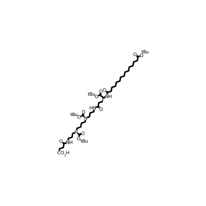 CC(C)(C)OC(=O)CCCCCCCCCCCCCC(=O)N[C@@H](CCC(=O)NCCCN(CCCCN(CCCNC(=O)CCC(=O)O)C(=O)OC(C)(C)C)C(=O)OC(C)(C)C)C(=O)OC(C)(C)C